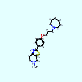 CC(=O)N1CCc2nc(-c3ccc(OCCCN4CCCCCC4)cc3)sc2C1